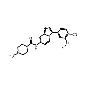 CC(C)Oc1cc(-c2cnc3cc(NC(=O)C4CCN(C)CC4)ccn23)ccc1C#N